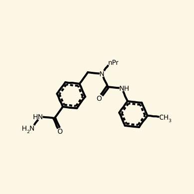 CCCN(Cc1ccc(C(=O)NN)cc1)C(=O)Nc1cccc(C)c1